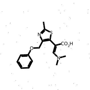 Cc1nc(COc2ccccc2)c(C(=CN(C)C)C(=O)O)s1